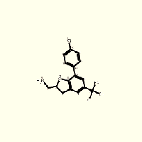 NCC1Cc2cc(C(F)(F)F)cc(-c3ccc(Cl)cc3)c2O1